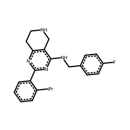 CC(C)c1ccccc1-c1nc2c(c(NCc3ccc(F)cc3)n1)CNCC2